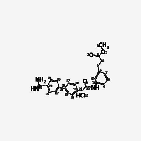 COC(=O)CCc1cccc(NC(=O)Cc2ccc(-c3ccc(C(=N)N)cc3)cc2)c1.Cl